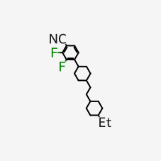 CCC1CCC(CCC2CCC(c3ccc(C#N)c(F)c3F)CC2)CC1